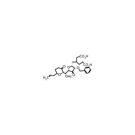 C=CCC1CCC(=O)[C@@H]([C@@H](OC(C)=O)[C@@H]2O[C@H](CC(CCC(=O)O)CC(=O)O)[C@H](OCc3ccccc3)C2=O)O1